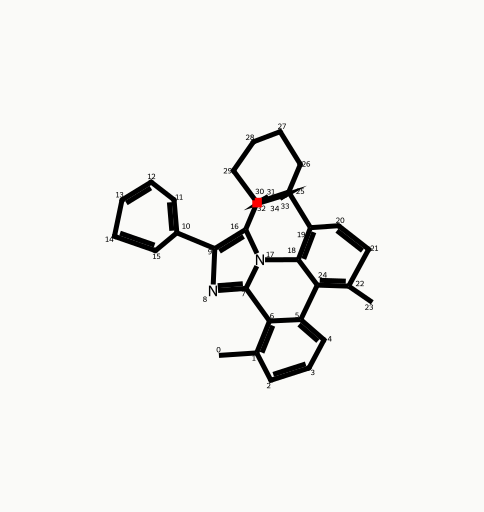 Cc1cccc2c1c1nc(-c3ccccc3)c3n1c1c(ccc(C)c21)C12CCCCC31CCCC2